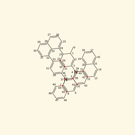 CC1C=C(N(c2ccccc2)c2cccc3ccccc23)C=CC1c1cccc2cccc(-c3ccc(N(c4ccccc4)c4ccccc4)cc3)c12